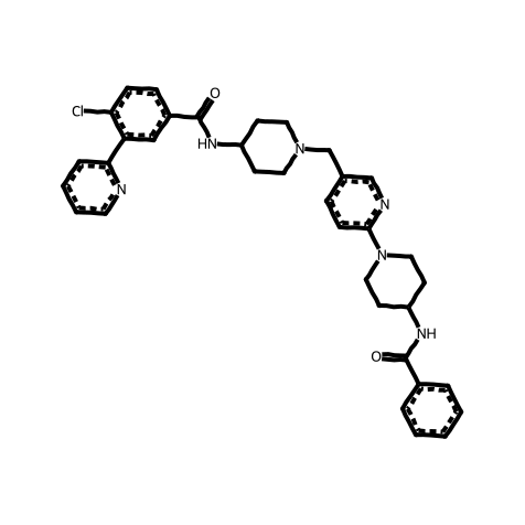 O=C(NC1CCN(Cc2ccc(N3CCC(NC(=O)c4ccccc4)CC3)nc2)CC1)c1ccc(Cl)c(-c2ccccn2)c1